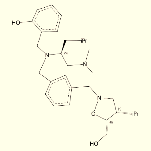 CC(C)C[C@@H](CN(C)C)N(Cc1cccc(CN2C[C@H](C(C)C)[C@H](CO)O2)c1)Cc1ccccc1O